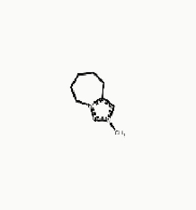 Cn1cc2[n+](n1)CCCCC2